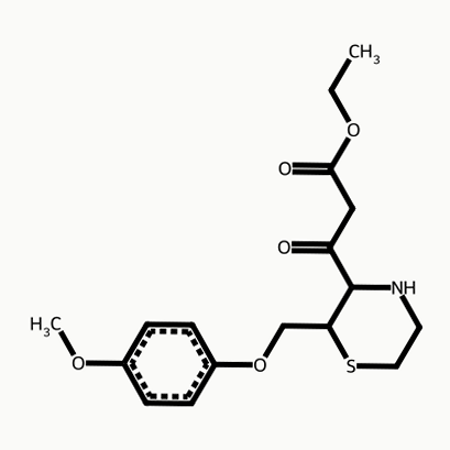 CCOC(=O)CC(=O)C1NCCSC1COc1ccc(OC)cc1